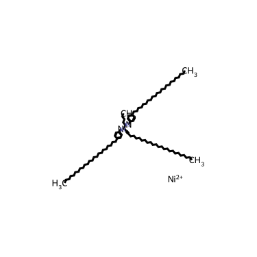 CCCCCCCCCCCCCCCCCCCCCCCC#CC(=N\c1ccc(CCCCCCCCCCCCCCCCCCCCCCC)cc1)/C(CCCC)=N/c1ccc(CCCCCCCCCCCCCCCCCCCCCCC)cc1.[Ni+2]